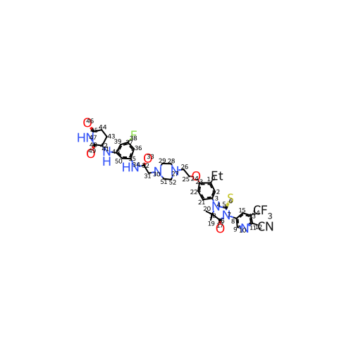 CCc1cc(N2C(=S)N(c3cnc(C#N)c(C(F)(F)F)c3)C(=O)C2(C)C)ccc1OCCN1CCN(CC(=O)Nc2cc(F)cc(NC3CCC(=O)NC3=O)c2)CC1